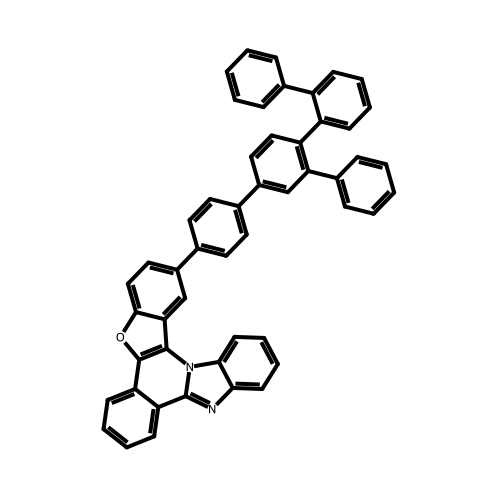 c1ccc(-c2ccccc2-c2ccc(-c3ccc(-c4ccc5oc6c7ccccc7c7nc8ccccc8n7c6c5c4)cc3)cc2-c2ccccc2)cc1